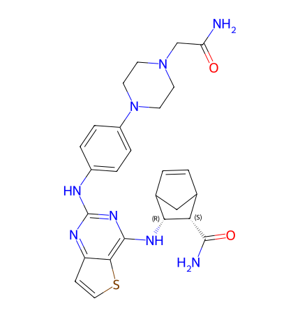 NC(=O)CN1CCN(c2ccc(Nc3nc(N[C@@H]4C5C=CC(C5)[C@@H]4C(N)=O)c4sccc4n3)cc2)CC1